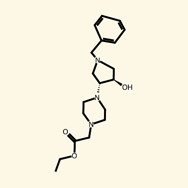 CCOC(=O)CN1CCN([C@@H]2CN(Cc3ccccc3)C[C@H]2O)CC1